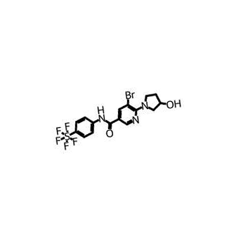 O=C(Nc1ccc(S(F)(F)(F)(F)F)cc1)c1cnc(N2CCC(O)C2)c(Br)c1